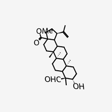 C=C(C)[C@@H]1CCC2(C(=O)OC)CC[C@]3(C)C(CCC4[C@@]5(C)CC[C@H](O)[C@@](C)(C=O)C5CC[C@]43C)C12